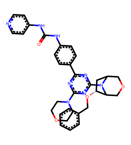 O=C(Nc1ccncc1)Nc1ccc(-c2nc(N3CCOCC3)nc(N3C4COCC3[C@H](OCc3ccccc3)C4)n2)cc1